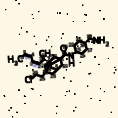 C=C(/C=C\C=C/C)[C@]12CC3CC(C(=O)N[C@H]4CC[C@H](CN)CC4)(C[C@](CCCl)(C3)C1)C2